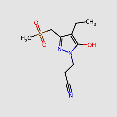 CCc1c(CS(C)(=O)=O)nn(CCC#N)c1O